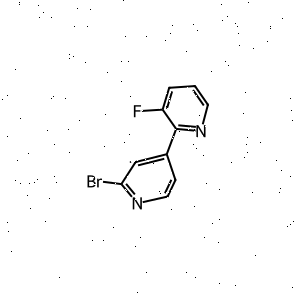 Fc1cccnc1-c1[c]c(Br)ncc1